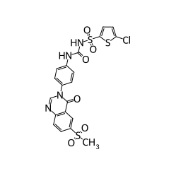 CS(=O)(=O)c1ccc2ncn(-c3ccc(NC(=O)NS(=O)(=O)c4ccc(Cl)s4)cc3)c(=O)c2c1